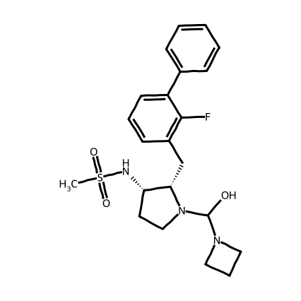 CS(=O)(=O)N[C@H]1CCN(C(O)N2CCC2)[C@H]1Cc1cccc(-c2ccccc2)c1F